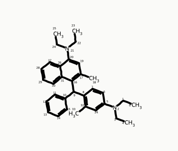 CCN(CC)c1ccc(C(c2ccccc2)c2c(C)cc(N(CC)CC)c3ccccc23)c(C)c1